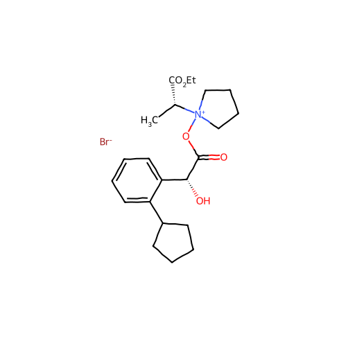 CCOC(=O)[C@@H](C)[N+]1(OC(=O)[C@H](O)c2ccccc2C2CCCC2)CCCC1.[Br-]